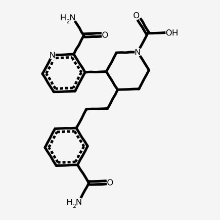 NC(=O)c1cccc(CCC2CCN(C(=O)O)CC2c2cccnc2C(N)=O)c1